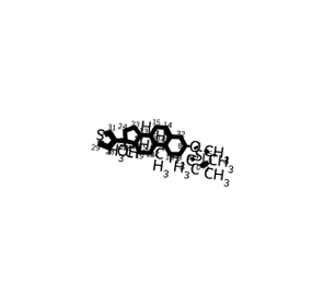 CC(C)(C)[Si](C)(C)O[C@H]1CC[C@@]2(C)C(=CC[C@@H]3[C@@H]2CC[C@@]2(C)[C@H]3CC[C@@]2(O)c2ccsc2)C1